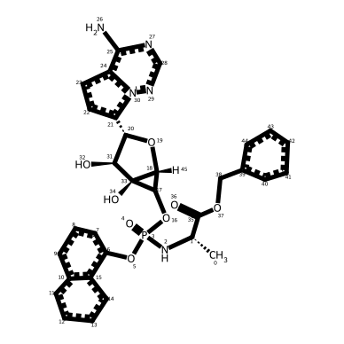 C[C@H](NP(=O)(Oc1cccc2ccccc12)OC1[C@H]2O[C@@H](c3ccc4c(N)ncnn34)[C@H](O)[C@@]12O)C(=O)OCc1ccccc1